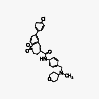 CN(Cc1ccc(NC(=O)C2=Cc3cc(-c4ccc(Cl)cc4)ccc3S(=O)(=O)CC2)cc1)C1CCOCC1